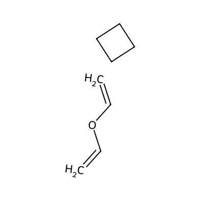 C1CCC1.C=COC=C